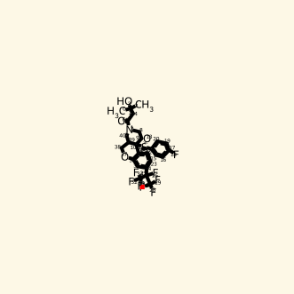 CC(C)(O)CC(=O)N1CCC2(S(=O)(=O)c3ccc(F)cc3)c3ccc(C(F)(C(F)(F)F)C(F)(F)F)cc3OCC2C1